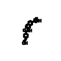 O=C(Nc1cc2cc(-c3cn[nH]c3)ccc2cn1)C1CCN(CCO)CC1